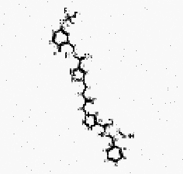 O=C(NCc1cc(OC(F)(F)F)ccc1F)c1cn(CCC(F)Cn2cc(C(=O)N[C@H](CO)c3ccccc3)nn2)nn1